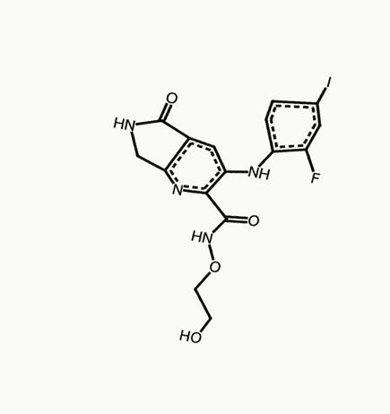 O=C1NCc2nc(C(=O)NOCCO)c(Nc3ccc(I)cc3F)cc21